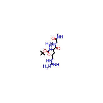 CNC(=O)CN(N)C(=O)C(CCCNC(=N)N)NC(=O)OC(C)(C)C